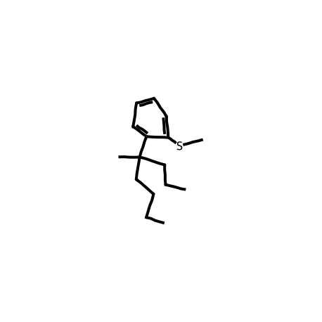 CCCCC(C)(CCC)c1ccccc1SC